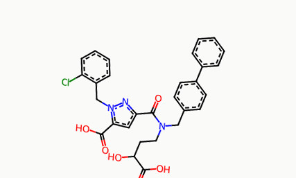 O=C(O)c1cc(C(=O)N(CCC(O)C(=O)O)Cc2ccc(-c3ccccc3)cc2)nn1Cc1ccccc1Cl